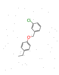 C[CH]c1ccc(OCc2cccc(Cl)c2)cc1